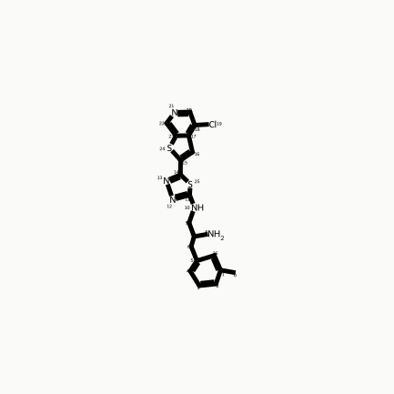 Cc1cccc(CC(N)CNc2nnc(-c3cc4c(Cl)cncc4s3)s2)c1